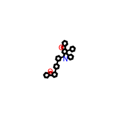 c1ccc(-c2c3c(cc4c(-c5cccc(-c6ccc(-c7cccc8c7oc7ccccc78)cc6)c5)nc5ccccc5c24)oc2ccccc23)cc1